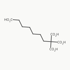 O=C(O)CCCCCCC(C(=O)O)(C(=O)O)C(=O)O